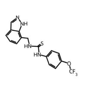 FC(F)(F)Oc1ccc(NC(=S)NCc2cccc3cn[nH]c23)cc1